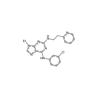 CCn1cnc2c(Nc3cccc(Cl)c3)nc(NCCc3ccccn3)nc21